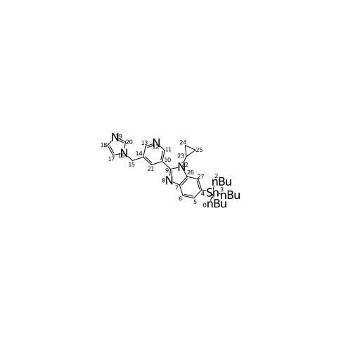 CCC[CH2][Sn]([CH2]CCC)([CH2]CCC)[c]1ccc2nc(-c3cncc(Cn4ccnc4)c3)n(C3CC3)c2c1